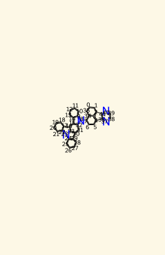 c1cc2c3c(ccc(-n4c5ccccc5c5c6c7ccccc7n7c8ccccc8c(cc54)c67)c3c1)-c1nccnc1-2